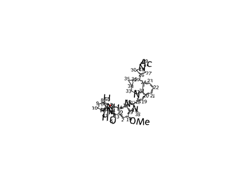 COc1cc(C(=O)N2C[C@H]3CC[C@@H]2[C@@H]3N)cc2nc(-c3cc4cccc(CC5CN(C(C)=O)C5)c4n3CC3CC3)n(C)c12